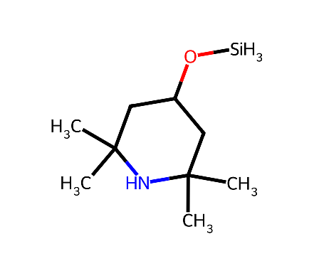 CC1(C)CC(O[SiH3])CC(C)(C)N1